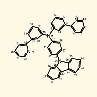 c1ccc(-c2cccc(N(c3ccc(-n4c5ccccc5c5ccccc54)cc3)c3cccc(-c4ccccn4)c3)c2)nc1